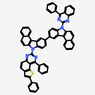 c1ccc(-c2cc3ccc4nc(-n5c6ccc(-c7ccc8c(c7)c7c9ccccc9ccc7n8-c7nc(-c8ccccc8)c8ccccc8n7)cc6c6c7ccccc7ccc65)nc(-c5ccccc5)c4c3s2)cc1